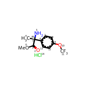 COC(=O)[C@](C)(N)c1ccc(OC(F)(F)F)cc1.Cl